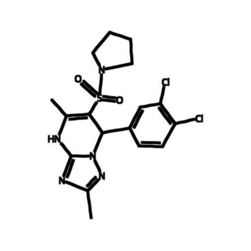 CC1=C(S(=O)(=O)N2CCCC2)C(c2ccc(Cl)c(Cl)c2)n2nc(C)nc2N1